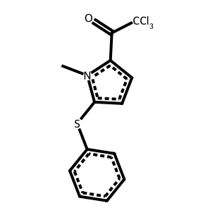 Cn1c(Sc2ccccc2)ccc1C(=O)C(Cl)(Cl)Cl